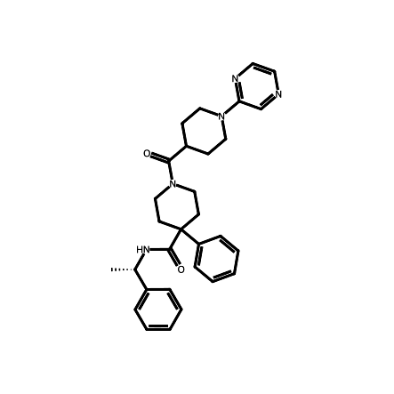 C[C@H](NC(=O)C1(c2ccccc2)CCN(C(=O)C2CCN(c3cnccn3)CC2)CC1)c1ccccc1